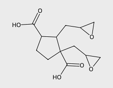 O=C(O)C1CCC(CC2CO2)(C(=O)O)C1CC1CO1